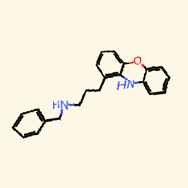 c1ccc(CNCCCc2cccc3c2Nc2ccccc2O3)cc1